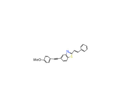 COc1ccc(C#Cc2ccc3sc(C=Cc4ccccc4)nc3c2)cc1